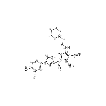 N#Cc1c(NCCN2CCCCC2)sc(C(=O)c2cc(-c3ccc(Cl)c(Cl)c3)no2)c1N